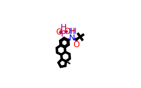 CC(C)(C)C(=O)Nc1cc2c(cc1[PH](=O)O)CCC1C2CC[C@]2(C)CCCC12